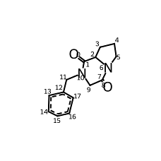 O=C1C2CCCN2C(=O)CN1Cc1ccccc1